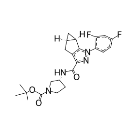 CC(C)(C)OC(=O)N1CC[C@@H](NC(=O)c2nn(-c3ccc(F)cc3F)c3c2C[C@H]2C[C@@H]32)C1